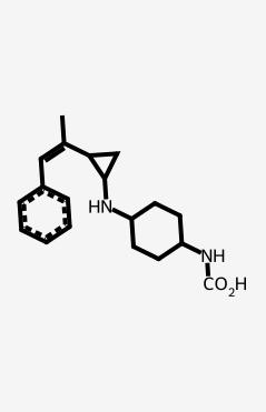 CC(=Cc1ccccc1)C1CC1NC1CCC(NC(=O)O)CC1